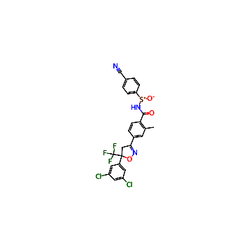 Cc1cc(C2=NOC(c3cc(Cl)cc(Cl)c3)(C(F)(F)F)C2)ccc1C(=O)N[S+]([O-])c1ccc(C#N)cc1